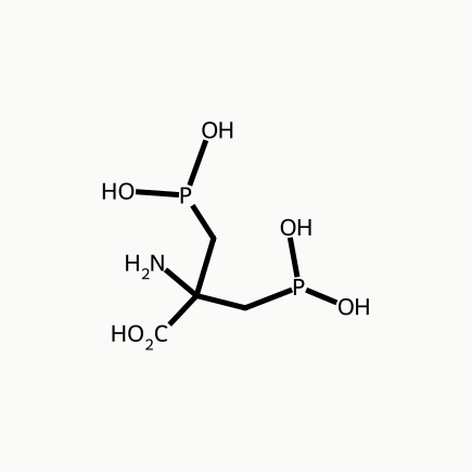 NC(CP(O)O)(CP(O)O)C(=O)O